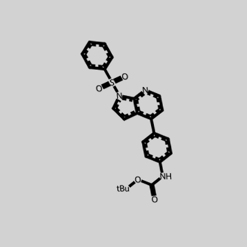 CC(C)(C)OC(=O)Nc1ccc(-c2ccnc3c2ccn3S(=O)(=O)c2ccccc2)cc1